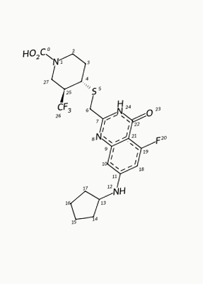 O=C(O)N1CC[C@H](SCc2nc3cc(NC4CCCC4)cc(F)c3c(=O)[nH]2)[C@@H](C(F)(F)F)C1